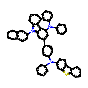 c1ccc(N(c2ccc(-c3cc(N(c4ccccc4)c4ccccc4)c4c5ccccc5n(-c5ccc6ccccc6c5)c4c3)cc2)c2ccc3c(c2)sc2ccccc23)cc1